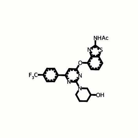 CC(=O)Nc1nc2c(Oc3cc(-c4ccc(C(F)(F)F)cc4)nc(N4CCCC(O)C4)n3)cccc2s1